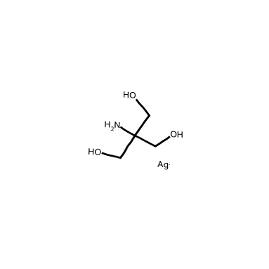 NC(CO)(CO)CO.[Ag]